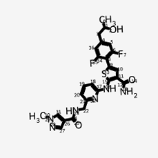 CC(O)Cc1cc(F)c(-c2cc(C(N)=O)c(Nc3cccc(CNC(=O)c4cnn(C)c4)n3)s2)c(F)c1